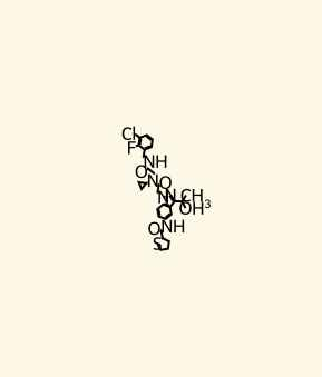 CC(O)c1nn(CC(=O)N(CC(=O)NCc2cccc(Cl)c2F)C2CC2)c2ccc(NC(=O)C3CCCS3)cc12